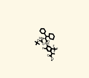 COC(=O)C(C)c1cc(F)c(NC(=O)[C@@H](NC(=O)OC(C)(C)C)C(C2CCCCC2)C2CCCCC2)cc1C(F)(F)F